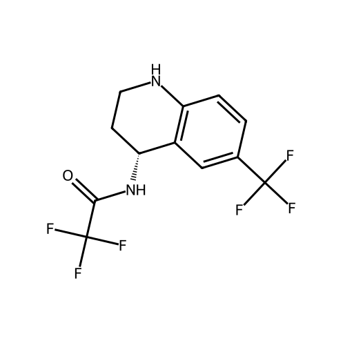 O=C(N[C@@H]1CCNc2ccc(C(F)(F)F)cc21)C(F)(F)F